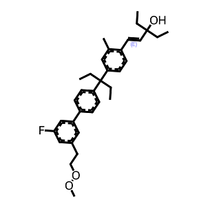 CCC(O)(/C=C/c1ccc(C(CC)(CC)c2ccc(-c3cc(F)cc(CCOOC)c3)cc2)cc1C)CC